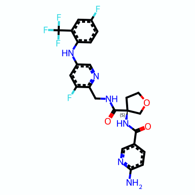 Nc1ccc(C(=O)N[C@@]2(C(=O)NCc3ncc(Nc4ccc(F)cc4C(F)(F)F)cc3F)CCOC2)cn1